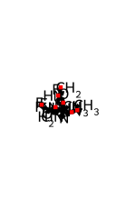 C=C(F)C(=O)Nc1ccc(-c2c(-c3cnc(C(=O)NCC(F)(F)F)c(Cl)c3)c3c(N)ncc(C#CC4(NC)CC4)c3n2C)cc1